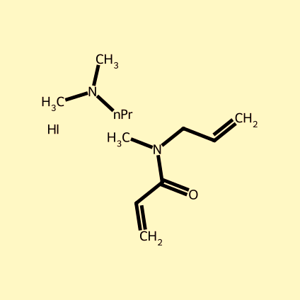 C=CCN(C)C(=O)C=C.CCCN(C)C.I